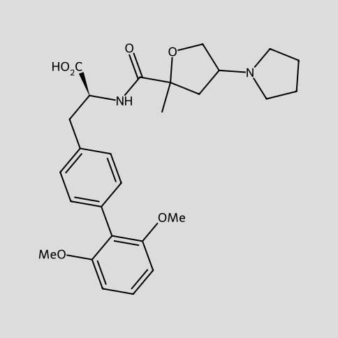 COc1cccc(OC)c1-c1ccc(C[C@H](NC(=O)C2(C)CC(N3CCCC3)CO2)C(=O)O)cc1